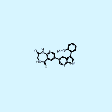 COc1ccccc1-c1c[nH]c2ncc(-c3cnc4c(c3)C(=O)NCC(=O)N4)cc12